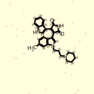 Cc1ccc2c(C3=C(c4c[nH]c5ccccc45)C(=O)NC3=O)cn(CCCN3CCCCC3)c2c1